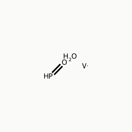 O.O=P.[V]